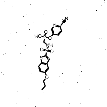 CCCOc1ccc2sc(S(=O)(=O)NCP(=O)(O)Oc3ccc(C#N)nc3)cc2c1